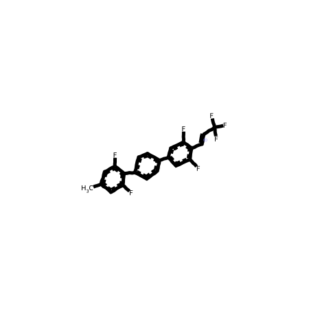 Cc1cc(F)c(-c2ccc(-c3cc(F)c(/C=C/C(F)(F)F)c(F)c3)cc2)c(F)c1